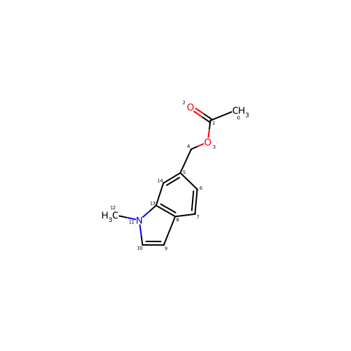 CC(=O)OCc1ccc2ccn(C)c2c1